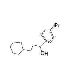 CC(C)c1ccc(C(O)CCC2CCCCC2)cc1